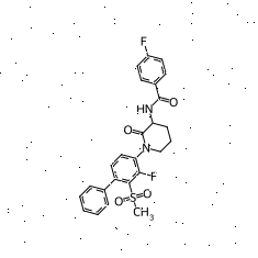 CS(=O)(=O)c1c(-c2ccccc2)ccc(N2CCCC(NC(=O)c3ccc(F)cc3)C2=O)c1F